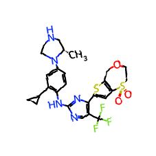 C[C@H]1CNCCN1c1ccc(Nc2ncc(C(F)(F)F)c(-c3cc4c(s3)COCCS4(=O)=O)n2)c(C2CC2)c1